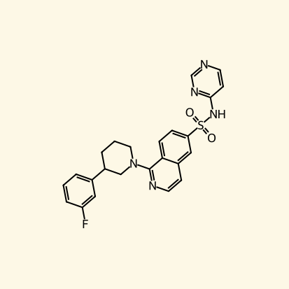 O=S(=O)(Nc1ccncn1)c1ccc2c(N3CCCC(c4cccc(F)c4)C3)nccc2c1